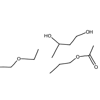 CC(O)CCO.CCCOC(C)=O.CCOCC